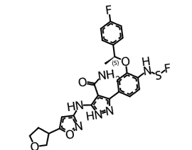 C[C@H](Oc1cc(-c2n[nH]c(Nc3cc(C4CCOC4)on3)c2C(N)=O)ccc1NSF)c1ccc(F)cc1